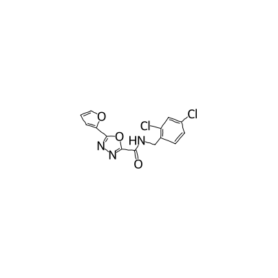 O=C(NCc1ccc(Cl)cc1Cl)c1nnc(-c2ccco2)o1